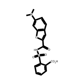 CN(C)c1ccc2cc(C(=O)NS(=O)(=O)c3ccccc3C(=O)O)oc2c1